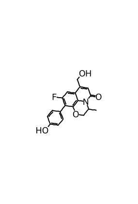 CC1COc2c(-c3ccc(O)cc3)c(F)cc3c(CO)cc(=O)n1c23